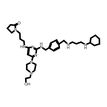 O=C1CCCN1CCCNc1cc(N2CCN(CCO)CC2)nc(NCc2ccc(CNCCCNC3CCCCC3)cc2)n1